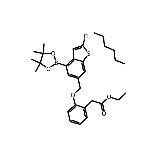 CCCCCC.CCOC(=O)Cc1ccccc1OCc1cc(B2OC(C)(C)C(C)(C)O2)c2cc(Cl)sc2c1